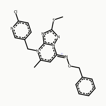 CSc1nc2n(Cc3ccc(Cl)nc3)c(C)c/c(=N\OCc3ccccc3)n2n1